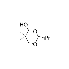 CC(C)C1OCC(C)(C)C(O)O1